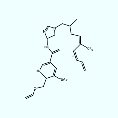 C=C/C=C\C(=CCC(C)CN1C=NC(NC(=C)C2=CNC(COC=C)C(NC)=C2)C1)C(F)(F)F